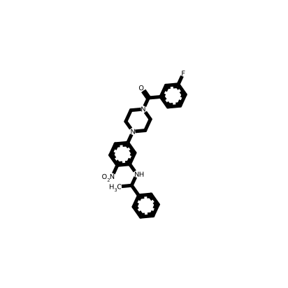 CC(Nc1cc(N2CCN(C(=O)c3cccc(F)c3)CC2)ccc1[N+](=O)[O-])c1ccccc1